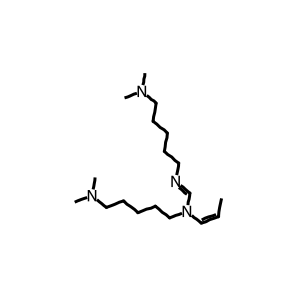 C/C=C\N(/C=N/CCCCCN(C)C)CCCCCN(C)C